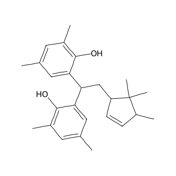 Cc1cc(C)c(O)c(C(CC2C=CC(C)C2(C)C)c2cc(C)cc(C)c2O)c1